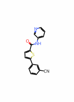 N#Cc1cccc(-c2ccc(C(=O)Nc3cccnc3)s2)c1